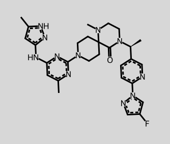 Cc1cc(Nc2cc(C)[nH]n2)nc(N2CCC3(CC2)C(=O)N([C@@H](C)c2ccc(-n4cc(F)cn4)nc2)CCN3C)n1